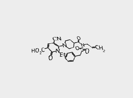 C=CCN(C(=O)C1CCN(c2c(C#N)cc(C(=O)O)c(=O)n2CC)CC1)S(=O)(=O)Cc1ccccc1